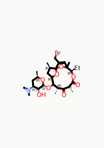 CC[C@H]1OC(=O)[C@H](C)C(=O)[C@H](C)[C@@H](O[C@@H]2O[C@H](C)C[C@H](N(C)C)[C@H]2O)[C@@]2(C)C[C@@H](C)C3(OC1(C)C=C3CBr)O2